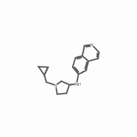 c1cc2cc(NC3CCN(CC4CC4)C3)ccc2cn1